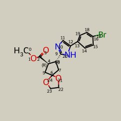 COC(=O)[C@@H]1CC2(C[C@H]1c1ncc(-c3ccc(Br)cc3)[nH]1)OCCO2